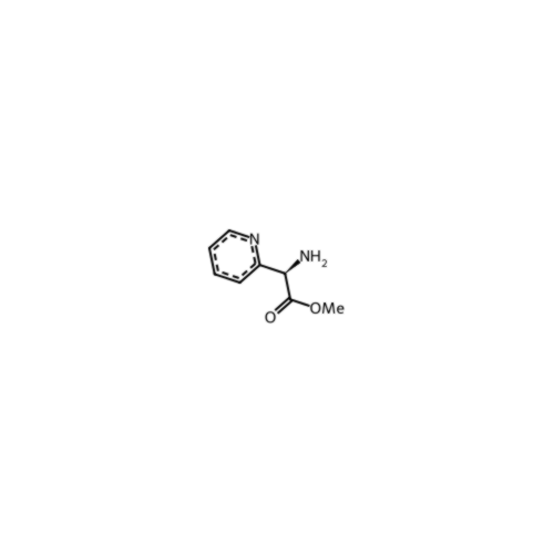 COC(=O)[C@H](N)c1ccccn1